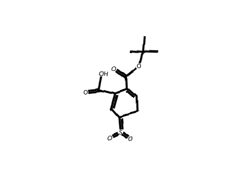 CC(C)(C)OC(=O)C1=CCC(=S(=O)=O)C=C1C(=O)O